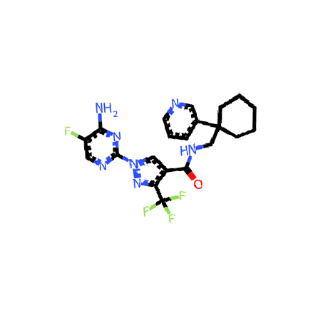 Nc1nc(-n2cc(C(=O)NCC3(c4cccnc4)CCCCC3)c(C(F)(F)F)n2)ncc1F